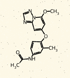 COc1cc(Oc2ccc(NC(C)=O)cc2C)cc2ncnn12